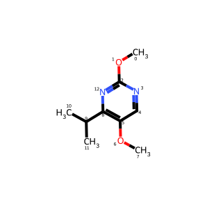 COc1ncc(OC)c(C(C)C)n1